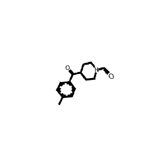 Cc1ccc(C(=O)C2CCN(C=O)CC2)cc1